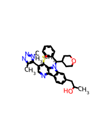 CSc1c(-c2c(C)nnn2C)cnc2c3ccc(CC(C)O)cc3n(C(c3ccccc3)C3CCOCC3)c12